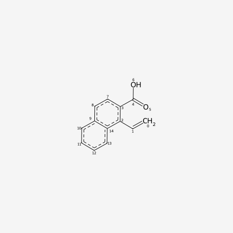 C=Cc1c(C(=O)O)ccc2ccccc12